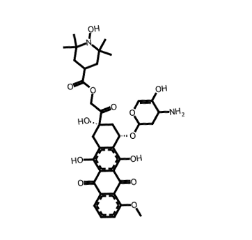 COc1cccc2c1C(=O)c1c(O)c3c(c(O)c1C2=O)C[C@@](O)(C(=O)COC(=O)C1CC(C)(C)N(O)C(C)(C)C1)C[C@@H]3OC1CC(N)C(O)=CO1